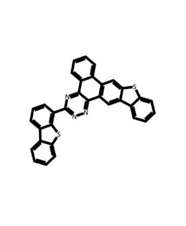 c1ccc2c(c1)sc1cc3c4ccccc4c4nc(-c5cccc6c5sc5ccccc56)nnc4c3cc12